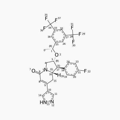 C[C@@H](O[C@H]1CN2C(=O)C=C(c3cn[nH]c3)C[C@H]2[C@@H]1c1ccc(F)cc1)c1cc(C(F)(F)F)cc(C(F)(F)F)c1